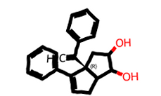 C=C(c1ccccc1)[C@@]12CC(O)C(O)C1CC=C2c1ccccc1